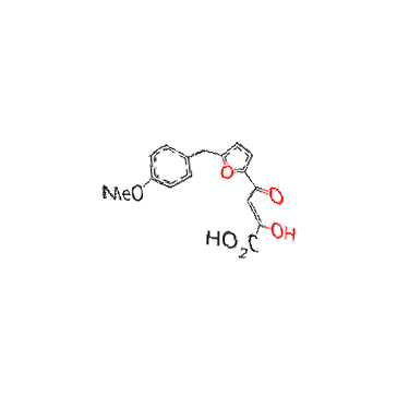 COc1ccc(Cc2ccc(C(=O)C=C(O)C(=O)O)o2)cc1